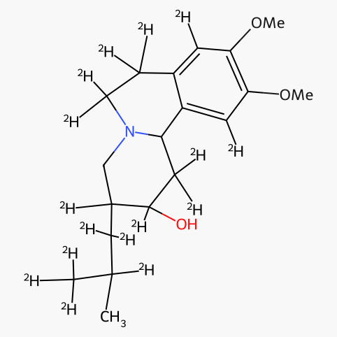 [2H]c1c(OC)c(OC)c([2H])c2c1C1N(CC([2H])(C([2H])([2H])C([2H])(C)C([2H])([2H])[2H])C([2H])(O)C1([2H])[2H])C([2H])([2H])C2([2H])[2H]